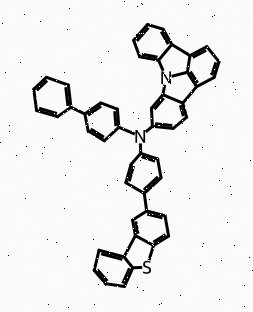 c1ccc(-c2ccc(N(c3ccc(-c4ccc5sc6ccccc6c5c4)cc3)c3ccc4c5cccc6c7ccccc7n(c4c3)c65)cc2)cc1